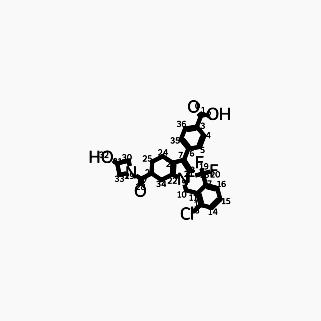 O=C(O)c1ccc(-c2cn(Cc3c(Cl)cccc3C(F)(F)F)c3c2CCC(C(=O)N2CC(O)C2)C3)cc1